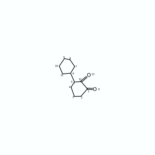 O=C1CCC[C](C2CCCCC2)C1=O